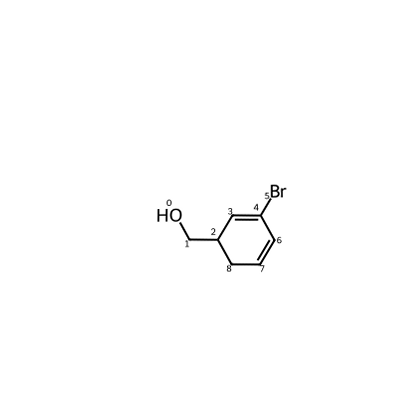 OCC1C=C(Br)C=CC1